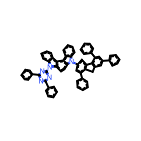 c1ccc(-c2cc3c(c(-c4ccccc4)c2)-c2cc(-n4c5ccccc5c5c6c7ccccc7n(-c7nc(-c8ccccc8)nc(-c8ccccc8)n7)c6ccc54)cc(-c4ccccc4)c2C3)cc1